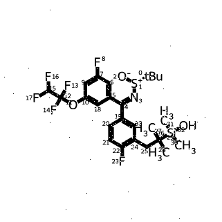 CC(C)(C)[S@@+]([O-])/N=C(\c1cc(F)cc(OC(F)(F)C(F)F)c1)c1ccc(F)c(CC(C)(C)[Si](C)(C)O)c1